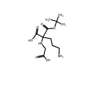 CC(C)(C)OC(=O)C(CCCN)(NCC(=O)O)C(=O)O